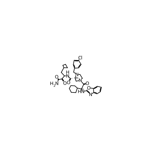 NC(=O)C(=O)C(CC1CCC1)NC(=O)[C@H]1CN(C(=O)[C@@H](Nc2nc3ccccc3o2)C2CCCCC2)CCN1Cc1ccc(Cl)cc1